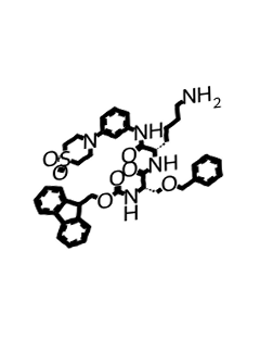 NCCCC[C@H](NC(=O)[C@H](COCc1ccccc1)NC(=O)OCC1c2ccccc2-c2ccccc21)C(=O)Nc1cccc(N2CCS(=O)(=O)CC2)c1